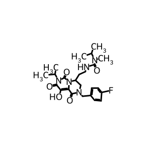 CC(C)N(C)C(=O)NCCC1CN(Cc2ccc(F)cc2)C(=O)c2c(O)c(=O)n(C(C)C)c(=O)n21